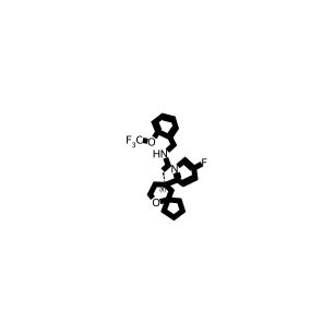 Fc1ccc([C@]2(CCNCc3ccccc3OC(F)(F)F)CCOC3(CCCC3)C2)nc1